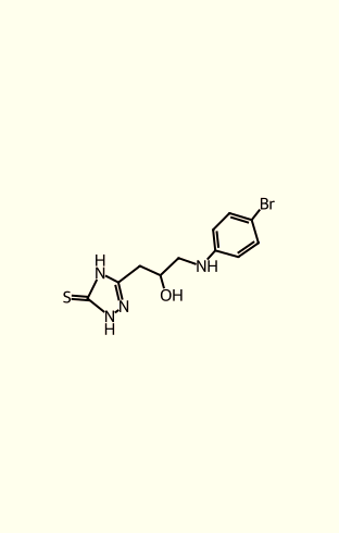 OC(CNc1ccc(Br)cc1)Cc1n[nH]c(=S)[nH]1